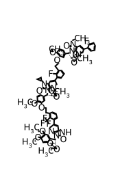 CCOc1cc([C@@H](CS(C)(=O)=O)n2c(=O)[nH]c3cc(-c4cccc(CCOc5cc([C@@H](CS(C)(=O)=O)n6c(=O)n(C7CC7)c7cc(-c8cccc(CCOc9cc([C@@H](CS(C)(=O)=O)n%10c(=O)n(CC)c%11cc(-c%12ccccc%12F)cnc%11%10)ccc9OC)c8F)cnc76)ccc5OC)c4C(F)(F)F)cnc32)ccc1OC